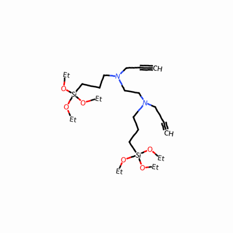 C#CCN(CCC[Si](OCC)(OCC)OCC)CCN(CC#C)CCC[Si](OCC)(OCC)OCC